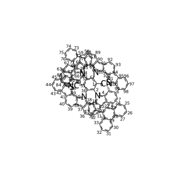 N#Cc1c(-n2c3ccccc3c3ccccc32)c(-n2c3cc(-c4cc5ccccc5c5ccccc45)ccc3c3ccc4c5ccccc5sc4c32)c(C#N)c(-n2c3ccccc3c3ccccc32)c1-n1c2cc(-c3ccccc3-c3cccc4ccccc34)ccc2c2ccc3c4ccccc4sc3c21